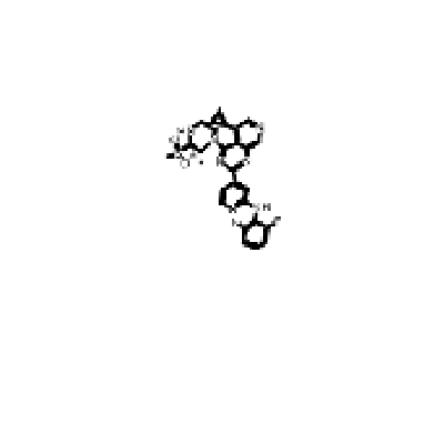 C[C@@H]1C(S(C)(=O)=O)NCCN1c1nc(-c2ccnc(Nc3c(F)cccc3F)c2)nc2cncc(C3CC3)c12